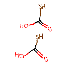 O=C(O)S.O=C(O)S